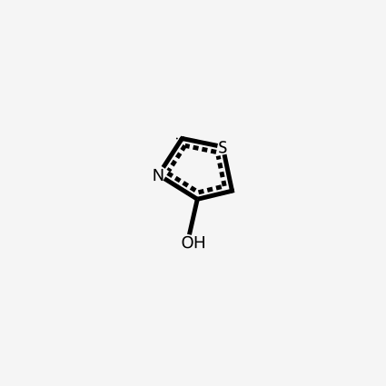 Oc1cs[c]n1